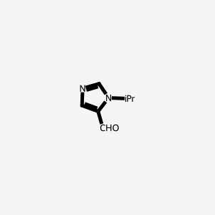 CC(C)n1cncc1C=O